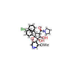 COc1cncc2c1C1(O)[C@H](O)[C@H](C(=O)N3CCCC3)C(c3ccccc3)C1(c1ccc(Br)cc1)O2